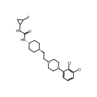 O=C(NC1CC1F)N[C@H]1CC[C@H](CCN2CCN(c3cccc(Cl)c3Cl)CC2)CC1